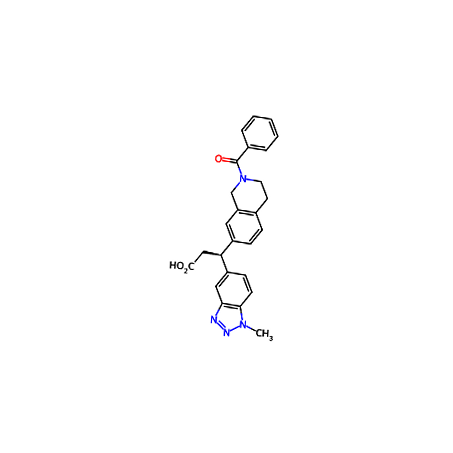 Cn1nnc2cc([C@@H](CC(=O)O)c3ccc4c(c3)CN(C(=O)c3ccccc3)CC4)ccc21